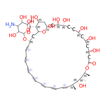 CCC1OC(O[C@H]2/C=C/C=C/C=C/C=C/C=C/C=C/C=C/[C@H](C)[C@@H](O)[C@@H](C)[C@H](C)OC(=O)C[C@H](O)C[C@H](O)C[C@H](O)CC[C@@H](O)[C@H](O)C[C@]3(O)C[C@H](O)[C@@H](C(=O)O)C(C2)O3)C(O)C(N)C1O